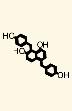 Oc1ccc(Cc2ccc(O)c3c(Cc4ccc(O)cc4)c(O)ccc23)cc1